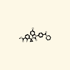 COC(=O)c1cccc(C2(n3c(=O)n(-c4ccc(C(=O)N5CCCCC5)cc4)c4cc(Cl)ccc43)CC2)c1F